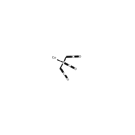 CP(=C=O)(C=C=O)C=C=O.[Co]